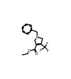 CCOC(=O)C1=C(C(F)(F)F)CN(Cc2ccccc2)C1